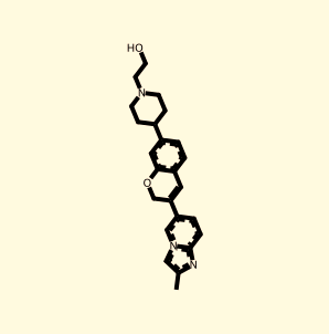 Cc1cn2cc(C3=Cc4ccc(C5CCN(CCO)CC5)cc4OC3)ccc2n1